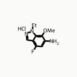 CCn1ncc2c(F)cc(N)c(OC)c21.Cl